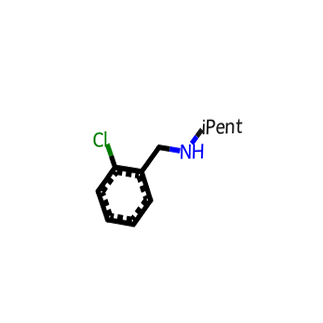 CCCC(C)NCc1ccccc1Cl